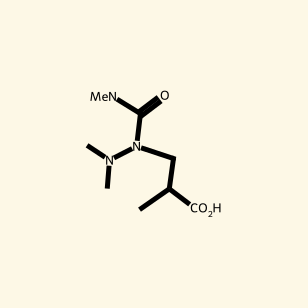 CNC(=O)N(CC(C)C(=O)O)N(C)C